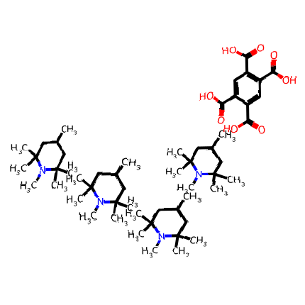 CC1CC(C)(C)N(C)C(C)(C)C1.CC1CC(C)(C)N(C)C(C)(C)C1.CC1CC(C)(C)N(C)C(C)(C)C1.CC1CC(C)(C)N(C)C(C)(C)C1.O=C(O)c1cc(C(=O)O)c(C(=O)O)cc1C(=O)O